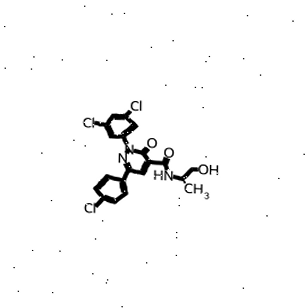 C[C@@H](CO)NC(=O)c1cc(-c2ccc(Cl)cc2)nn(-c2cc(Cl)cc(Cl)c2)c1=O